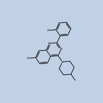 CC1CCN(c2nc(-c3ccccc3F)nc3cc(F)ccc23)CC1